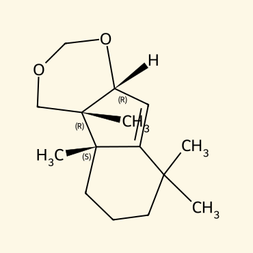 CC1(C)CCC[C@@]2(C)C1=C[C@H]1OCOC[C@]12C